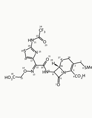 CSCC1=C(C(=O)O)N2C(=O)C(NC(=O)C(=NOCC(=O)O)c3csc(NC(=O)C(F)(F)F)n3)[C@@H]2SC1